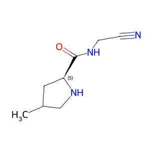 CC1CN[C@H](C(=O)NCC#N)C1